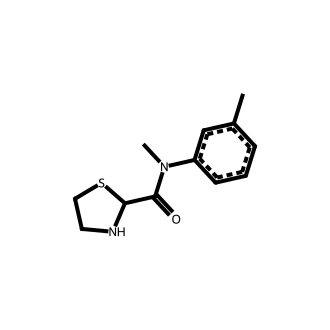 Cc1cccc(N(C)C(=O)C2NCCS2)c1